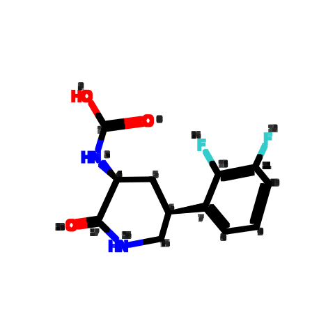 O=C(O)N[C@H]1C[C@@H](c2cccc(F)c2F)CNC1=O